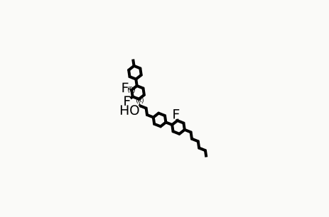 CCCCCCC1CCC(C2CCC(CCC(O)[C@H]3CCC(C4CCC(C)CC4)[C@@H](F)C3F)CC2)C(F)C1